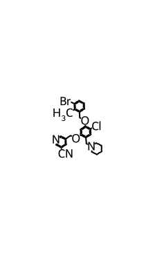 Cc1c(Br)cccc1COc1cc(OCc2cncc(C#N)c2)c(CN2CCCCC2)cc1Cl